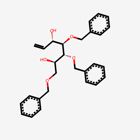 C=C[C@H](O)[C@@H](OCc1ccccc1)[C@H](OCc1ccccc1)[C@H](O)COCc1ccccc1